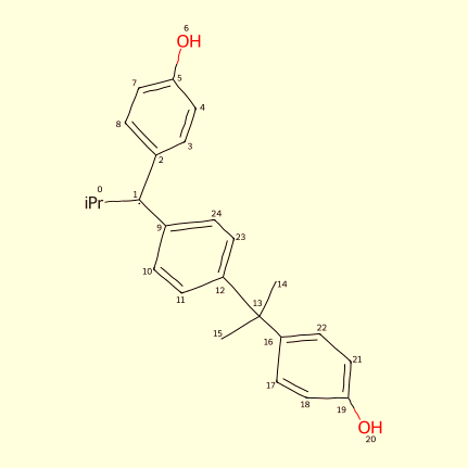 CC(C)[C](c1ccc(O)cc1)c1ccc(C(C)(C)c2ccc(O)cc2)cc1